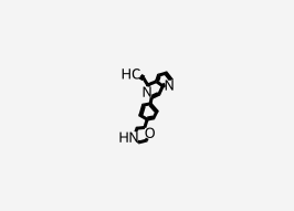 C#Cc1nc(-c2ccc(C3CNCCO3)cc2)cc2ncccc12